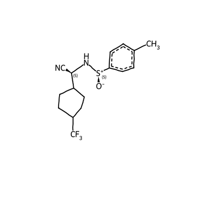 Cc1ccc([S@@+]([O-])N[C@H](C#N)C2CCC(C(F)(F)F)CC2)cc1